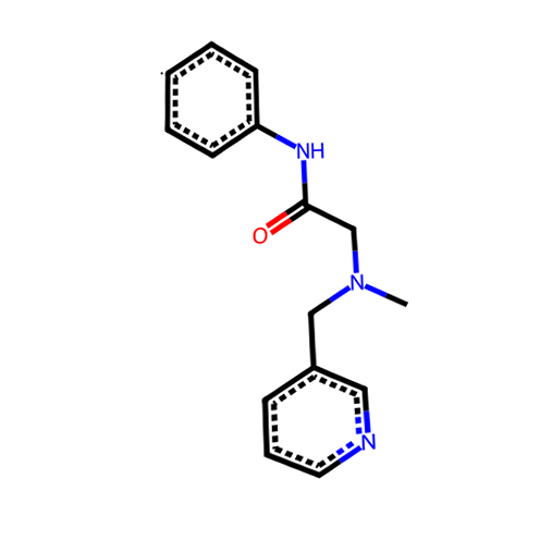 CN(CC(=O)Nc1cc[c]cc1)Cc1cccnc1